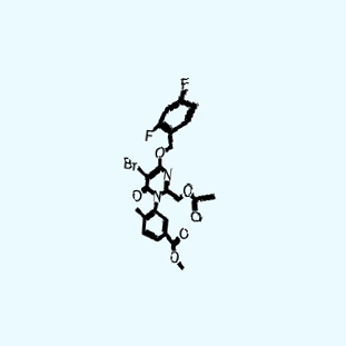 COC(=O)c1ccc(C)c(-n2c(COC(C)=O)nc(OCc3ccc(F)cc3F)c(Br)c2=O)c1